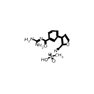 CS(=O)(=O)O.N#Cc1occc1-c1cccc(C(=O)N=C(N)N)c1